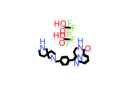 O=C(O)C(F)(F)F.O=C(O)C(F)(F)F.O=C1NCCc2c(-c3ccc(CN4CCC5(CCCNC5)C4)cc3)nc3cccc1n23